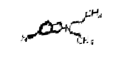 CCCN(CCC)C1Cc2ccc(C#N)cc2C1